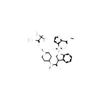 COC(=O)c1sccc1S(=O)(=O)N1CC(C(=O)N(C)C2CCN(C)CC2)c2ccccc21.O=C(O)C(F)(F)F